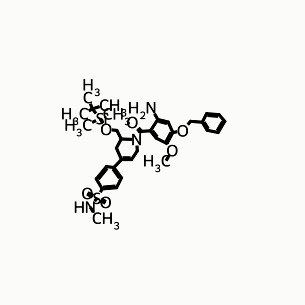 CNS(=O)(=O)c1ccc(C2=CCN(C(=O)c3cc(OC)c(OCc4ccccc4)cc3N)C(CO[Si](C)(C)C(C)(C)C)C2)cc1